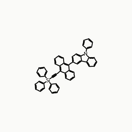 C(#C[Si](c1ccccc1)(c1ccccc1)c1ccccc1)c1c2ccccc2c(-c2ccc3c(c2)c2ccccc2n3-c2ccccc2)c2ccccc12